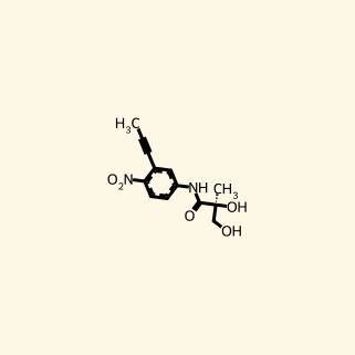 CC#Cc1cc(NC(=O)[C@@](C)(O)CO)ccc1[N+](=O)[O-]